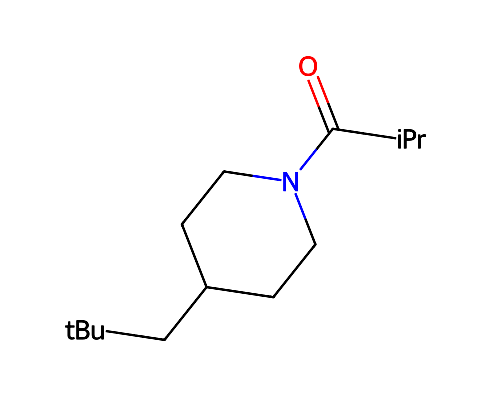 CC(C)C(=O)N1CCC(CC(C)(C)C)CC1